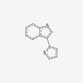 [c]1sc2ccccc2c1-c1cccs1